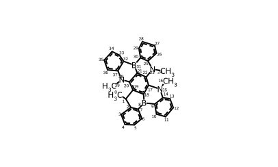 CC1c2ccccc2B2c3ccccc3N(C)c3c2c1c1c2c3N(C)c3ccccc3B2c2ccccc2N1C